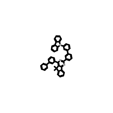 CC1(C)c2ccccc2-c2nc(-c3cccc(-c4cccc(-n5c6ccccc6c6ccccc65)c4)c3)nc(-c3cccc(-c4ccccc4)c3)c21